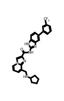 O=C(Nc1nc2cc(-c3cccc(C(F)(F)F)c3)ccc2[nH]1)c1cn2cccc(CNC3CCCC3)c2n1